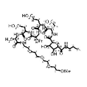 COCCOCCOCCOCCNC(=O)[C@@H](C)NC(=O)C(CC(=O)O)NC(=O)[C@@H](NC(=O)C(CCC(=O)O)NC(=O)[C@H](CC(=O)O)NC(=O)C1OC(C(=O)NCCF)C(O)C1O)C(C)C